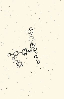 COCCOCCOc1nn(C2CCC(N3C[C@@H](C)O[C@@H](C)C3)CC2)cc1Nc1ncc(-c2ccc(Cl)c(OC(C)Cn3cnnn3)c2)cn1